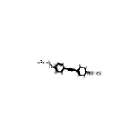 CCCCCCC1CC=C(C#Cc2ccc(OCCCCC)cc2)CC1